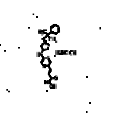 CC(C)(CN1CC[C@@H](Nc2cnc(C=CC(=O)NO)cn2)C1)c1ccccc1.Cl.Cl.Cl.Cl